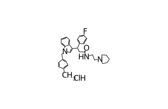 Cc1ccc(Cn2cc(C(CC(=O)NCCN3CCCCC3)c3ccc(F)cc3)c3ccccc32)cc1.Cl